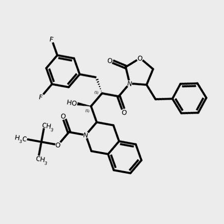 CC(C)(C)OC(=O)N1Cc2ccccc2CC1[C@@H](O)[C@H](Cc1cc(F)cc(F)c1)C(=O)N1C(=O)OCC1Cc1ccccc1